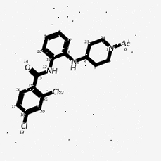 CC(=O)N1CCC(Nc2ccccc2NC(=O)c2ccc(Cl)cc2Cl)CC1